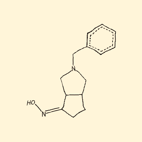 ON=C1CCC2CN(Cc3ccccc3)CC12